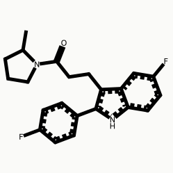 CC1CCCN1C(=O)CCc1c(-c2ccc(F)cc2)[nH]c2ccc(F)cc12